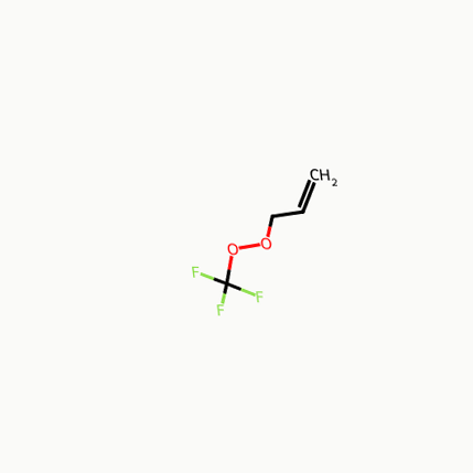 C=CCOOC(F)(F)F